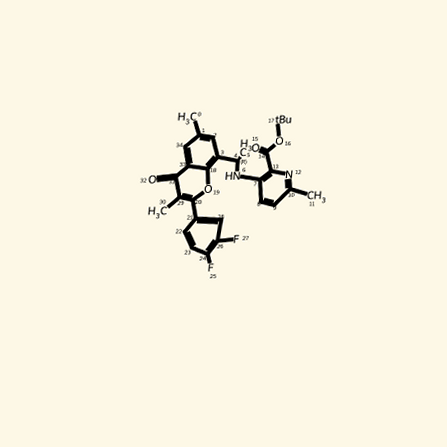 Cc1cc([C@@H](C)Nc2ccc(C)nc2C(=O)OC(C)(C)C)c2oc(-c3ccc(F)c(F)c3)c(C)c(=O)c2c1